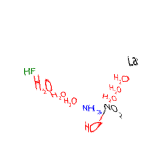 F.N.O.O.O.O.O.O.O=[N+]([O-])O.[La]